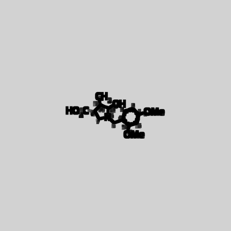 COc1ccc(CN2C[C@H](C(=O)O)[C@@H](C)C2O)c(OC)c1